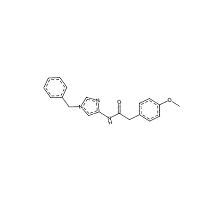 COc1ccc(CC(=O)Nc2cn(Cc3ccccc3)cn2)cc1